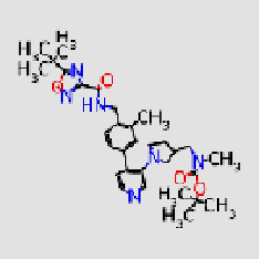 Cc1cc(-c2ccncc2N2CCC(CN(C)C(=O)OC(C)(C)C)C2)ccc1CNC(=O)c1noc(C(C)(C)C)n1